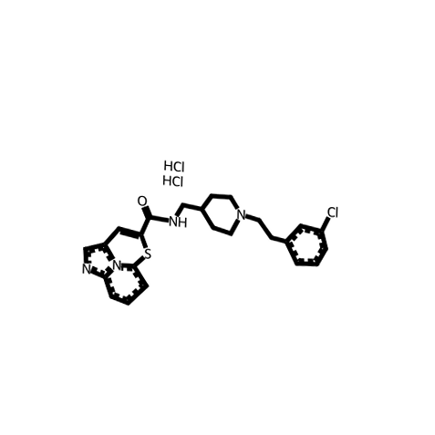 Cl.Cl.O=C(NCC1CCN(CCc2cccc(Cl)c2)CC1)C1=Cc2cnc3cccc(n23)S1